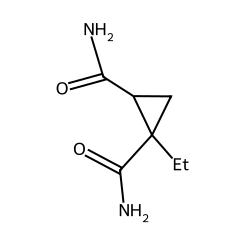 CCC1(C(N)=O)CC1C(N)=O